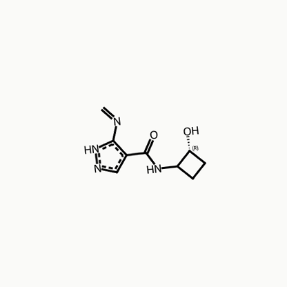 C=Nc1[nH]ncc1C(=O)NC1CC[C@H]1O